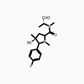 C[C@H](C=O)N(C)C(=O)C1C[C@](C)(C#N)C(c2ccc(F)cc2)N1C